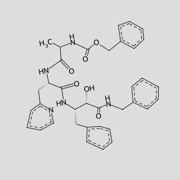 CC(NC(=O)OCc1ccccc1)C(=O)N[C@@H](Cc1ccccn1)C(=O)N[C@@H](Cc1ccccc1)[C@H](O)C(=O)NCc1ccccc1